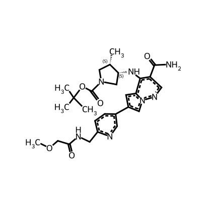 COCC(=O)NCc1ccc(-c2cc3c(N[C@@H]4CN(C(=O)OC(C)(C)C)C[C@@H]4C)c(C(N)=O)cnn3c2)cn1